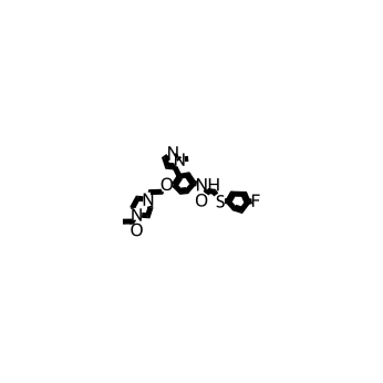 CC(=O)N1CCN(CCOc2ccc(NC(=O)CSc3ccc(F)cc3)cc2-c2ccnn2C)CC1